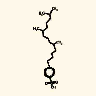 CC(C)CCCC(C)CCCC(C)CCCCc1ccc(S(=O)(=O)O)cc1